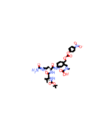 CC(C)[C@H](NC(=O)OC(C)(C)C)C(=O)N[C@@H](CCCNC(N)=O)C(=O)Nc1ccc(COC(=O)Oc2ccc([N+](=O)[O-])cc2)c(CN(C)C(=O)O)c1